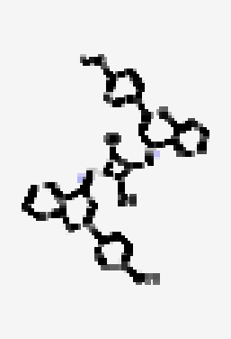 COc1ccc(C2=C/C(=C\C3C(O)C(/C=C4\C=C(c5ccc(OC)cc5)Sc5ccccc54)C3O)c3ccccc3S2)cc1